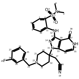 CN(C)S(=O)(=O)c1ccccc1Nc1nn(C2(CC#N)CCN(Cc3cccc(F)c3)CC2)c2cc[nH]c(=O)c12